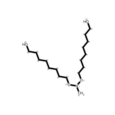 CN(OCCCCCCCCO)OCCCCCCCCO